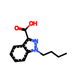 CCCCn1nc(C(=O)O)c2ccccc21